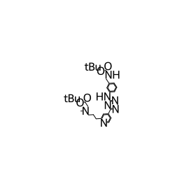 CN(CCCc1cc(-c2ncnc(Nc3cccc(CNC(=O)OC(C)(C)C)c3)n2)ccn1)CC(=O)OC(C)(C)C